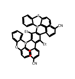 CCc1c(-c2ccc(C#N)cc2)c(N2c3ccccc3Oc3ccccc32)c(CC)c(N2c3ccccc3Sc3ccccc32)c1-c1ccc(C#N)cc1